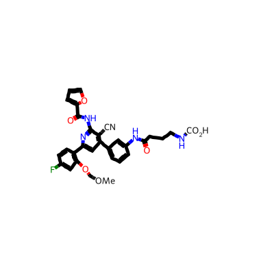 COCOc1cc(F)ccc1-c1cc(-c2cccc(NC(=O)CCCNC(=O)O)c2)c(C#N)c(NC(=O)c2ccco2)n1